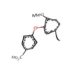 COc1ccc(C)cc1Oc1ccc(C(=O)O)cc1